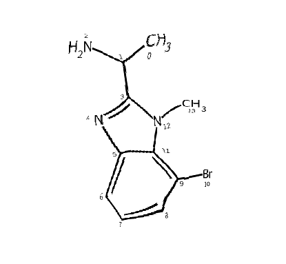 CC(N)c1nc2cccc(Br)c2n1C